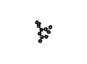 CC1(C)c2ccccc2-c2ccc(-c3cc(-c4cccc(-c5nc(-c6ccccc6)cc(-c6ccccc6)n5)c4)cc(-c4ccc5c(c4)c4ccccc4n5-c4ccccc4)c3)cc21